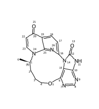 C[C@@H]1CCCOc2ncnc3[nH]c(=O)n(c23)-c2ccc3c(=O)ccn1c3n2